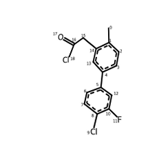 Cc1ccc(-c2ccc(Cl)c(F)c2)cc1CC(=O)Cl